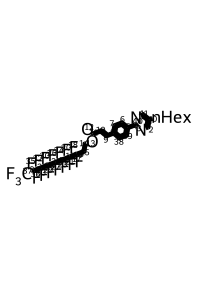 CCCCCCc1cnc(-c2ccc(C=CC(=O)OCCC(F)(F)C(F)(F)C(F)(F)C(F)(F)C(F)(F)C(F)(F)C(F)(F)C(F)(F)F)cc2)nc1